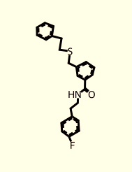 O=C(NCCc1ccc(F)cc1)c1cccc(CSCCc2ccccc2)c1